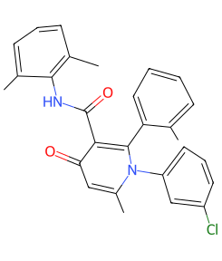 Cc1ccccc1-c1c(C(=O)Nc2c(C)cccc2C)c(=O)cc(C)n1-c1cccc(Cl)c1